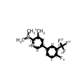 Cc1cc(-c2ccc(F)c(C(F)(F)F)c2)cnc1N(C)C